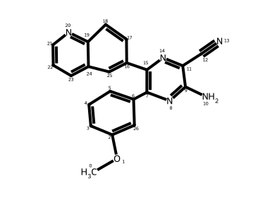 COc1cccc(-c2nc(N)c(C#N)nc2-c2ccc3ncccc3c2)c1